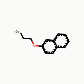 CCCCCCCCCCOc1ccc2c[c]ccc2c1